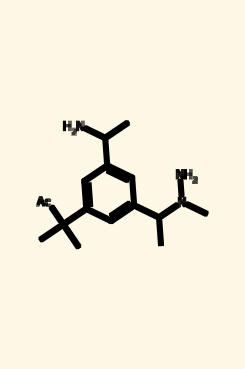 CC(=O)C(C)(C)c1cc(C(C)N)cc(C(C)N(C)N)c1